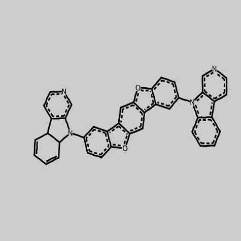 C1=CC2c3ccncc3N(c3ccc4oc5cc6c(cc5c4c3)oc3ccc(-n4c5ccccc5c5ccncc54)cc36)C2C=C1